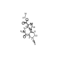 C#CC1C=C2C(=O)N(C)Cc3c(C(=O)OCC)ncn3C2=CC1